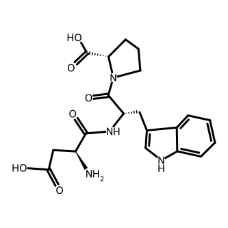 N[C@@H](CC(=O)O)C(=O)N[C@@H](Cc1c[nH]c2ccccc12)C(=O)N1CCC[C@H]1C(=O)O